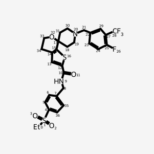 CCS(=O)(=O)c1ccc(CNC(=O)c2cc3c(s2)C2(CCN(Cc4ccc(F)c(C(F)(F)F)c4)CC2)OCC3)cc1